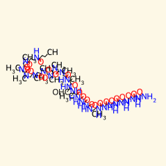 C#CCCC(=O)NCCC(=O)N(C)CC(=O)N(C)CC(=O)N(C)CC(=O)N(C)CC(=O)N(C)CC(=O)N(C)CC(=O)N(C)CC(=O)N(C)CC(=O)NC(C)C(=O)NC(C=O)N[C@H](C)C(=O)NC(=O)NC(=O)NC(=O)N[C@H](C)C(=O)NC(=O)NC(=O)NC(=O)NC(=O)NC(=O)NC(=O)NC(=O)NC(N)=O